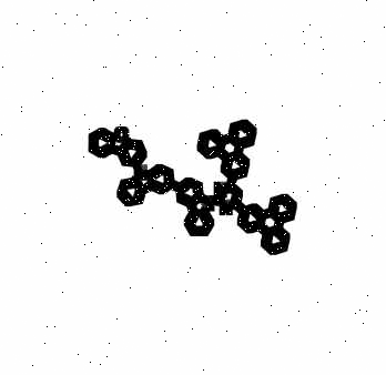 c1ccc2c(c1)oc1ccc(-n3c4ccccc4c4cc(-c5ccc6c(c5)c5ccccc5n6-c5nc(-c6ccc7c8ccccc8c8ccccc8c7c6)cc(-c6ccc7c8ccccc8c8ccccc8c7c6)n5)ccc43)cc12